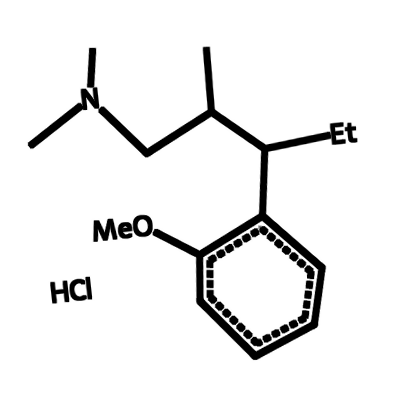 CCC(c1ccccc1OC)C(C)CN(C)C.Cl